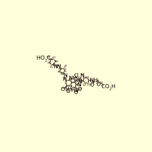 Cc1cc(N=Nc2cc([SH](=O)=O)c3cc([SH](=O)=O)c(N=Nc4ccc(NC(=O)COCC(=O)O)cc4[N+](=O)[O-])c(O)c3c2N)ccc1N=Nc1ccc(C(=O)O)cc1